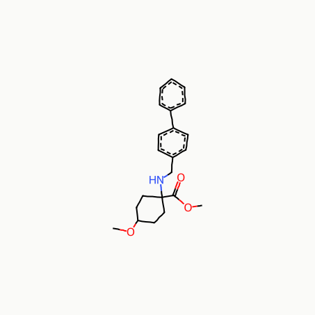 COC(=O)C1(NCc2ccc(-c3ccccc3)cc2)CCC(OC)CC1